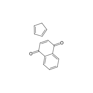 C1=CCC=C1.O=C1C=CC(=O)c2ccccc21